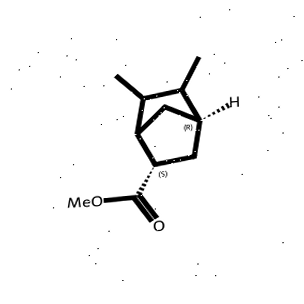 COC(=O)[C@H]1C[C@H]2CC1C(C)C2C